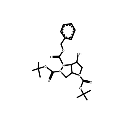 CC(C)(C)OC(=O)N1CC(O)C2C1CN(C(=O)OC(C)(C)C)N2C(=O)OCc1ccccc1